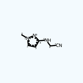 Cn1ccc(NCC#N)n1